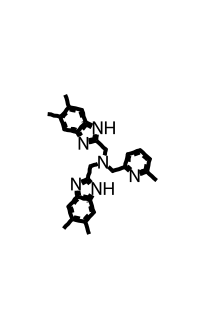 Cc1cccc(CN(Cc2nc3cc(C)c(C)cc3[nH]2)Cc2nc3cc(C)c(C)cc3[nH]2)n1